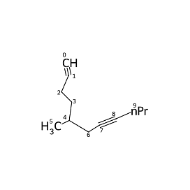 C#CCCC(C)CC#CC[CH]C